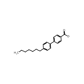 CCCCCCCc1ccc(-c2ccc(C([O])=O)cc2)cc1